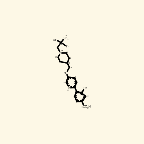 O=C(O)c1ccc(-c2ccc(OCC3CCN(CC(F)(F)C(F)(F)F)CC3)cn2)c(F)c1